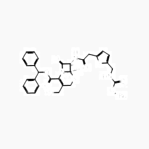 CC(C)(C)OC(=O)NCc1ccc(CC(=O)N[C@@H]2C(=O)N3C(C(=O)OC(c4ccccc4)c4ccccc4)=C(CO)CS[C@@H]23)s1